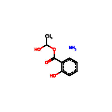 CC(O)OC(=O)c1ccccc1O.N